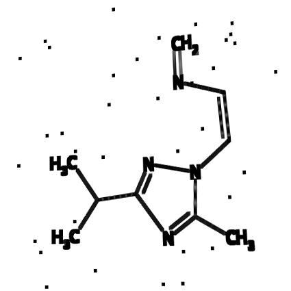 C=N/C=C\n1nc(C(C)C)nc1C